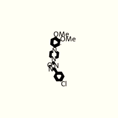 COc1[c]c(N2CCN(c3nc(-c4ccc(Cl)cc4)no3)CC2)ccc1OC